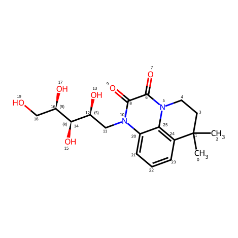 CC1(C)CCn2c(=O)c(=O)n(C[C@H](O)[C@@H](O)[C@H](O)CO)c3cccc1c32